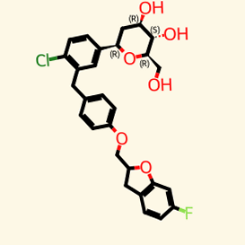 OC[C@H]1O[C@@H](c2ccc(Cl)c(Cc3ccc(OCC4Cc5ccc(F)cc5O4)cc3)c2)C[C@@H](O)[C@@H]1O